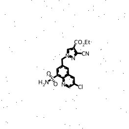 CCOC(=O)c1cn(Cc2cc(S(N)(=O)=O)c3ncc(Cl)cc3c2)nc1C#N